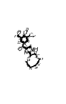 COc1cc(C(=O)c2c[nH]c(C3CCCCCCCCC3)n2)cc(C=O)c1OC